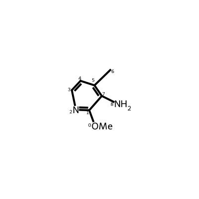 COc1nccc(C)c1N